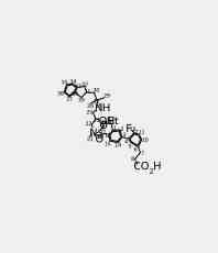 CCc1cc(-c2cc(CCC(=O)O)ccc2F)ccc1S(=O)(=O)N(C)CC(O)CNC(C)(C)CC1Cc2ccccc2C1